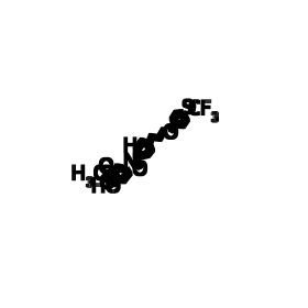 CS(=O)(=O)c1cc(NC(=O)c2ccc(CCCOc3ccc(SC(F)(F)F)cc3)cc2)ccc1O